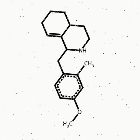 COc1ccc(CC2NCCC3CCCC=C32)c(C)c1